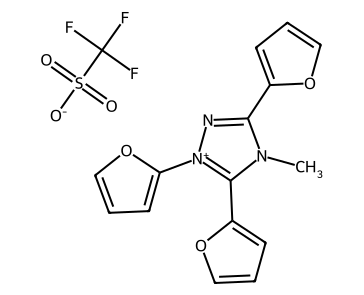 Cn1c(-c2ccco2)n[n+](-c2ccco2)c1-c1ccco1.O=S(=O)([O-])C(F)(F)F